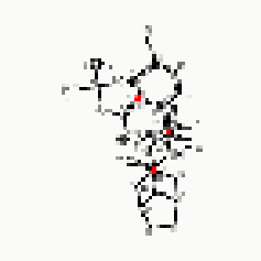 CC(C)(C)OC(=O)N[C@H](C(=O)O)C1CC2CCC(C1)N2C(=O)NS(=O)(=O)c1ccc(Cl)cc1